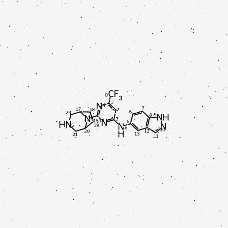 FC(F)(F)c1cc(Nc2ccc3[nH]ncc3c2)nc(N2C3CCC2CNC3)n1